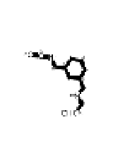 O=C=NCC1CCCC(CN=CC=O)C1